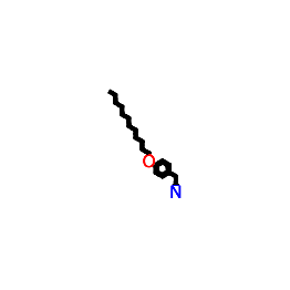 CCCCCCCCCCCCOc1ccc(CC#N)cc1